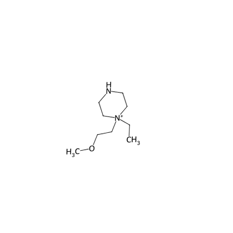 CC[N+]1(CCOC)CCNCC1